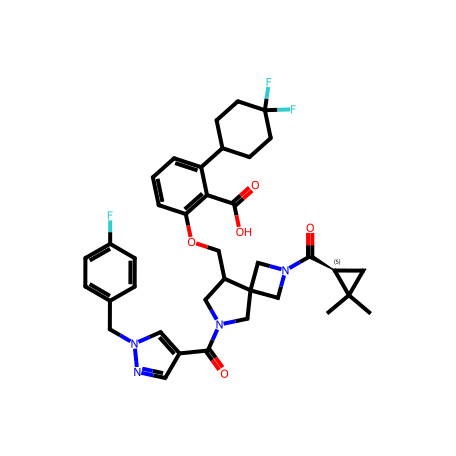 CC1(C)C[C@@H]1C(=O)N1CC2(CN(C(=O)c3cnn(Cc4ccc(F)cc4)c3)CC2COc2cccc(C3CCC(F)(F)CC3)c2C(=O)O)C1